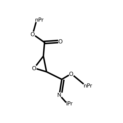 CCCOC(=O)C1OC1C(=NC(C)C)OCCC